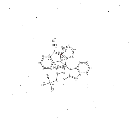 CC1=Cc2ccccc2[CH]1[Zr](=[SiH2])([CH2]CC[Si](Cl)(Cl)Cl)([c]1ccccc1)[CH]1C(C)=Cc2ccccc21.Cl.Cl